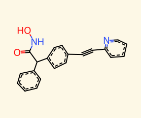 O=C(NO)C(c1ccccc1)c1ccc(C#Cc2ccccn2)cc1